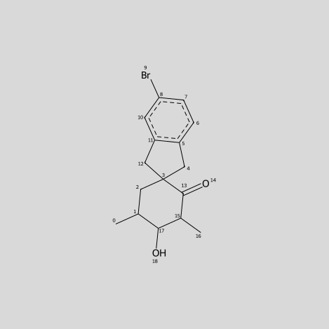 CC1CC2(Cc3ccc(Br)cc3C2)C(=O)C(C)C1O